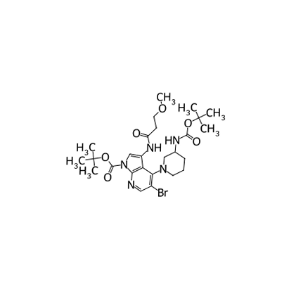 COCCC(=O)Nc1cn(C(=O)OC(C)(C)C)c2ncc(Br)c(N3CCCC(NC(=O)OC(C)(C)C)C3)c12